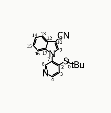 CC(C)(C)Sc1ccncc1-n1cc(C#N)c2ccccc21